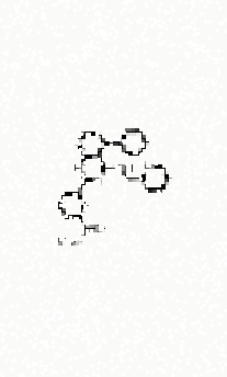 CNC(=O)c1cccc(-c2nc(NCc3ccccn3)c3c(-c4ccccc4)cccc3n2)c1